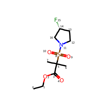 CCOC(=O)C(C)(C)S(=O)(=O)N1CC[C@@H](F)C1